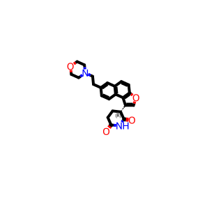 O=C1CC[C@H](c2coc3ccc4cc(CCN5CCOCC5)ccc4c23)C(=O)N1